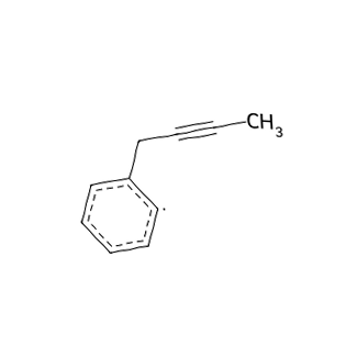 CC#CCc1[c]cccc1